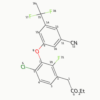 CCOC(=O)Cc1ccc(Cl)c(Oc2cc(C#N)cc(C(C)(F)F)c2)c1F